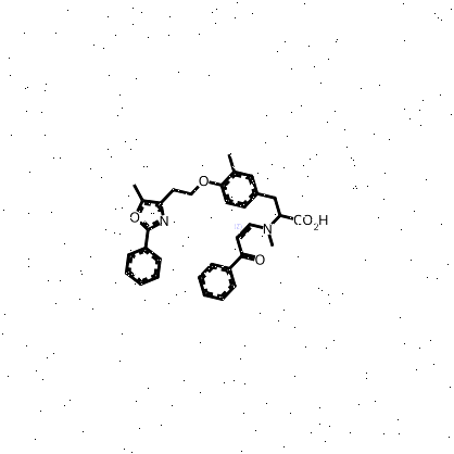 Cc1cc(CC(C(=O)O)N(C)/C=C\C(=O)c2ccccc2)ccc1OCCc1nc(-c2ccccc2)oc1C